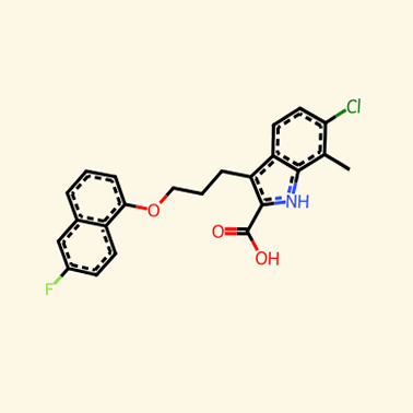 Cc1c(Cl)ccc2c(CCCOc3cccc4cc(F)ccc34)c(C(=O)O)[nH]c12